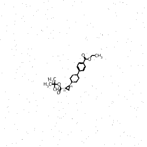 CCOC(=O)c1ccc(C2CCC([C@H]3C[C@@H]3C(=O)OC(C)(C)C)CC2)cc1